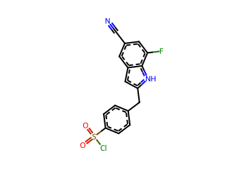 N#Cc1cc(F)c2[nH]c(Cc3ccc(S(=O)(=O)Cl)cc3)cc2c1